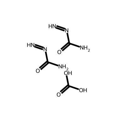 N=NC(N)=O.N=NC(N)=O.O=C(O)O